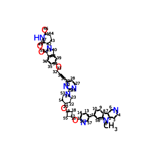 Cn1c2ccncc2c2ccc(-c3ccc(OC4CC(OC5CCN(c6nccc(C#CCOc7ccc8c(c7)CN(C7CCC(=O)NC7=O)C8=O)n6)CC5)C4)nc3)cc21